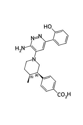 C[C@H]1CCN(c2cc(-c3ccccc3O)nnc2N)C[C@H]1c1ccc(C(=O)O)cc1